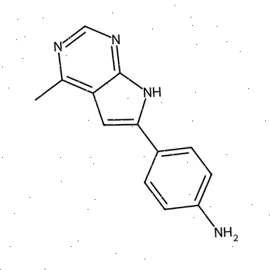 Cc1ncnc2[nH]c(-c3ccc(N)cc3)cc12